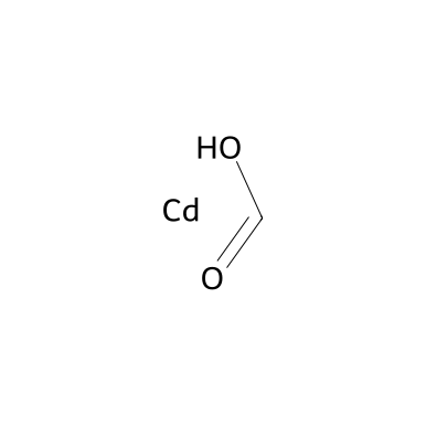 O=CO.[Cd]